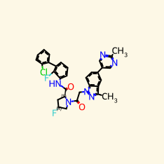 Cc1ncc(-c2ccc3c(c2)c(C)nn3CC(=O)N2C[C@H](F)C[C@H]2C(=O)Nc2cccc(-c3ccccc3Cl)c2F)cn1